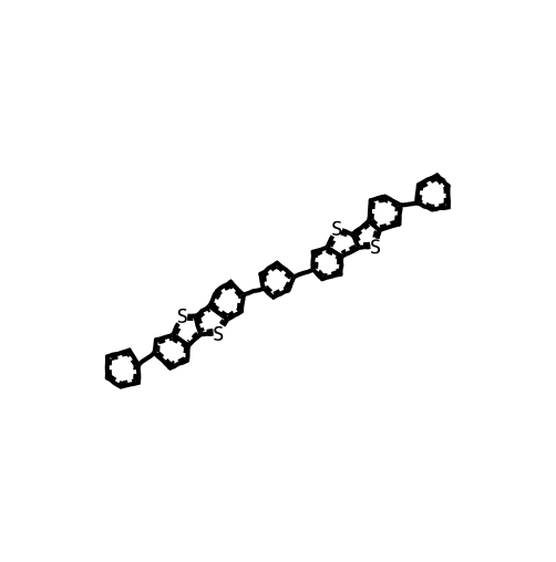 c1ccc(-c2ccc3c(c2)sc2c4ccc(-c5ccc(-c6ccc7c(c6)sc6c8ccc(-c9ccccc9)cc8sc76)cc5)cc4sc32)cc1